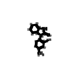 Cc1ccc(-n2c(=O)[nH]c3ccccc32)c(F)c1